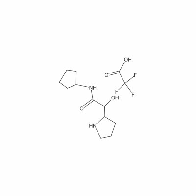 O=C(NC1CCCC1)C(O)C1CCCN1.O=C(O)C(F)(F)F